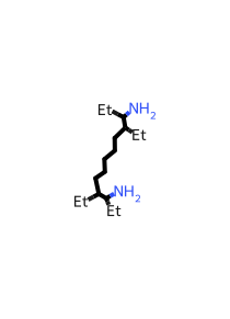 CCC(N)C(CC)CCCCCC(CC)C(N)CC